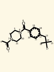 CC(=O)N1CCN(C(=O)c2ccc(CC(C)(C)C)cc2)CC1